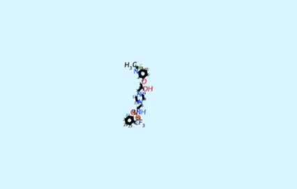 Cc1nc2cc(OC[C@H](O)CN3CCN(CCNS(=O)(=O)c4ccccc4C(F)(F)F)CC3)ccc2s1